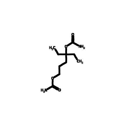 CCC(CC)(CCCOC(N)=O)OC(N)=O